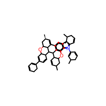 CC1C=C(n2c3c(c4cc(C5=C[C@H](C)CC6OC7C=C(C8=CC=CCC8)C=CC7C(C7c8ccccc8OC8CC(C)C=CC87)C56)ccc42)C(C)CC=C3)C=CC1